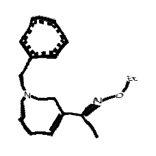 CCON=C(C)C1=CCCN(Cc2ccccc2)C1